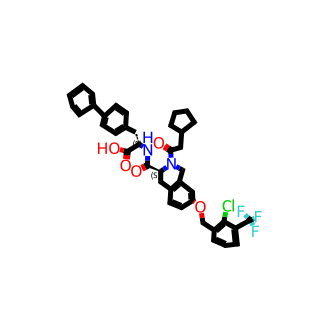 O=C(O)[C@H](Cc1ccc(-c2ccccc2)cc1)NC(=O)[C@@H]1Cc2ccc(OCc3cccc(C(F)(F)F)c3Cl)cc2CN1C(=O)CC1CCCC1